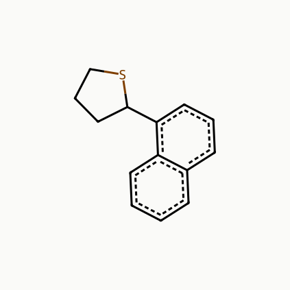 c1ccc2c(C3CCCS3)cccc2c1